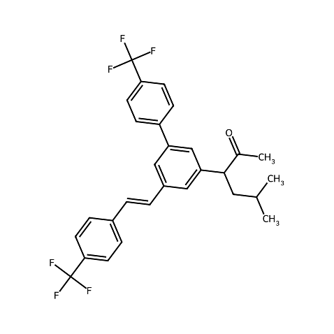 CC(=O)C(CC(C)C)c1cc(/C=C/c2ccc(C(F)(F)F)cc2)cc(-c2ccc(C(F)(F)F)cc2)c1